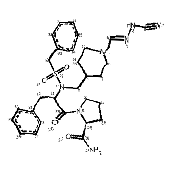 N#CNN=CN1CCC(CN([C@H](Cc2ccccc2)C(=O)N2CCC[C@H]2C(N)=O)S(=O)(=O)Cc2ccccc2)CC1